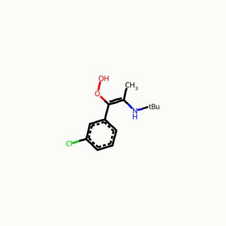 CC(NC(C)(C)C)=C(OO)c1cccc(Cl)c1